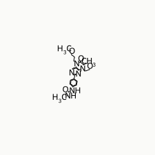 CNC(=O)Nc1ccc(-c2ncc3c(n2)N2CCOCC2(C)C(=O)N3CCCOC)cc1